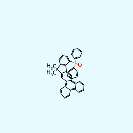 CC1(C)c2cc3c4ccccc4c4ccccc4c3cc2-c2c1cccc2P(=O)(c1ccccc1)c1ccccc1